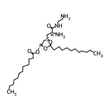 CCCCCCCCCCCC(=O)OC[C@H](CSC[C@H](N)C(=O)NCCN)OC(=O)CCCCCCCCCCC